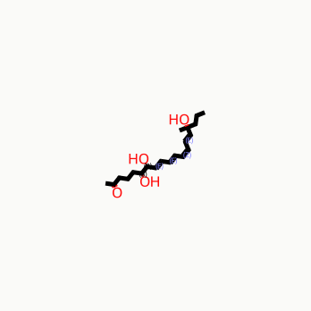 CCCC(C)(O)/C=C/C=C\C=C\C=C\[C@@H](O)[C@@H](O)CCCC(C)=O